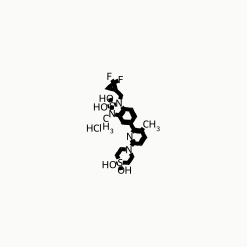 Cc1ccc(N2CCS(O)(O)CC2)nc1-c1ccc2c(c1)N(C)S(O)(O)N2CC1CC1(F)F.Cl